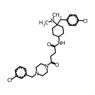 CN(C)C1(Cc2ccc(Cl)cc2)CCC(NC(=O)CCC(=O)N2CCN(Cc3cccc(Cl)c3)CC2)CC1